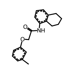 Cc1cccc(OCC(=O)Nc2cccc3c2CCCC3)c1